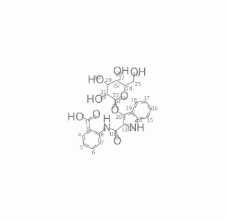 O=C(O)c1ccccc1NC(=O)c1[nH]c2ccccc2c1O[C@@H]1OC(CO)[C@@H](O)C(O)C1O